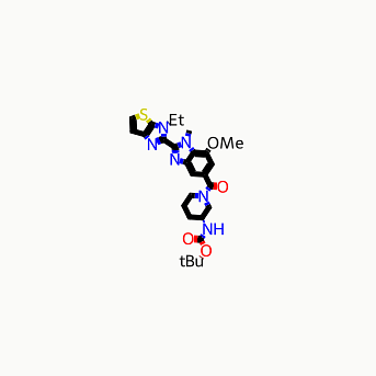 CCn1c(-c2nc3cc(C(=O)N4CCC[C@@H](NC(=O)OC(C)(C)C)C4)cc(OC)c3n2C)nc2ccsc21